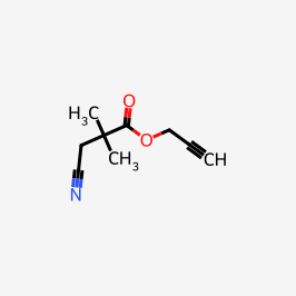 C#CCOC(=O)C(C)(C)CC#N